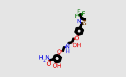 NC(=O)c1cc(OCCNCC(O)COc2ccc(-c3nc(C(F)(F)F)cs3)cc2)ccc1O